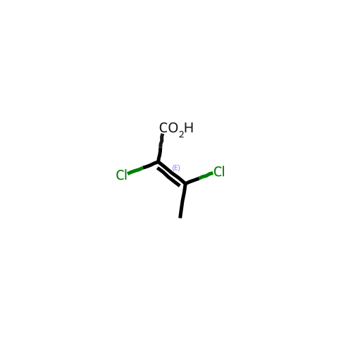 C/C(Cl)=C(\Cl)C(=O)O